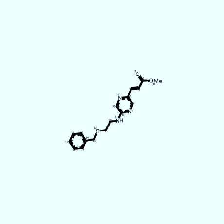 COC(=O)/C=C/c1cnc(NCCOCc2ccccc2)cn1